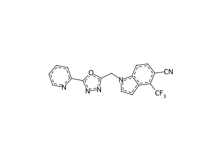 N#Cc1ccc2c(ccn2Cc2nnc(-c3ccccn3)o2)c1C(F)(F)F